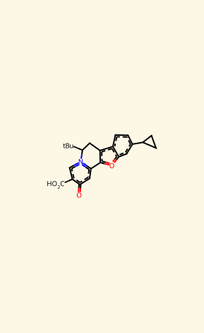 CC(C)(C)C1Cc2c(oc3cc(C4CC4)ccc23)-c2cc(=O)c(C(=O)O)cn21